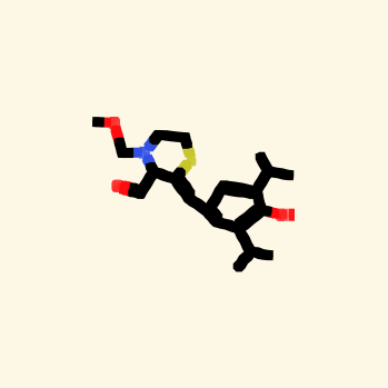 COCN1CCSC(=Cc2cc(C(C)C)c(O)c(C(C)C)c2)C1C=O